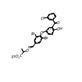 CCOC(=O)C(C)ON=Cc1cc(Br)c(Oc2ccc(O)c(C(=O)c3cccc(Cl)c3)c2)c(Br)c1